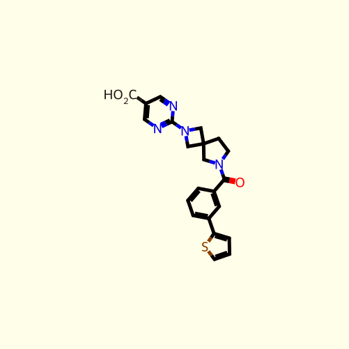 O=C(O)c1cnc(N2CC3(CCN(C(=O)c4cccc(-c5cccs5)c4)C3)C2)nc1